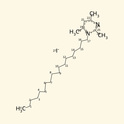 CCCCCCCCCCCCCCCCCC[n+]1c(C)cc(C)nc1C.[I-]